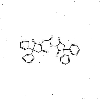 O=C(ON1C(=O)CC(c2ccccc2)(c2ccccc2)C1=O)ON1C(=O)CC(c2ccccc2)(c2ccccc2)C1=O